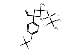 CC1(O[Si](C)(C)C(C)(C)C)CC(C=O)(c2ccc(OC(F)(F)F)cc2)C1